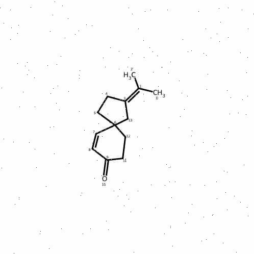 CC(C)=C1CCC2(C=CC(=O)CC2)C1